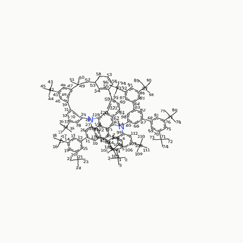 CC(C)(C)c1cccc(-c2cc(-c3cc(C(C)(C)C)cc(C(C)(C)C)c3)cc(N3c4cc(cc(C(C)(C)C)c4)-c4cc(C(C)(C)C)cc(c4)C(C)(C)CC4C=C(C=CC4)c4ccc5c(N(c6cc(-c7cc(C(C)(C)C)cc(C(C)(C)C)c7)cc(-c7cc(C(C)(C)C)cc(C(C)(C)C)c7)c6)c6cc(C(C)(C)C)cc(C(C)(C)C)c6)c6ccccc6c3c5c4)c2)c1